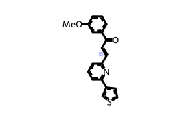 COc1cccc(C(=O)/C=C/c2cccc(-c3ccsc3)n2)c1